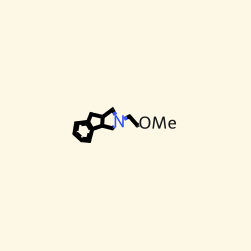 COCCN1CC2Cc3ccccc3C2C1